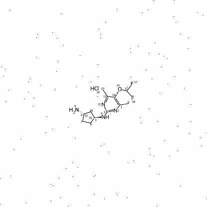 Cc1nc(N[C@H]2CC[C@H](N)C2)nc(C)c1OC(F)F.Cl